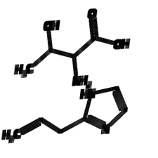 C=CCc1ncc[nH]1.CC(O)C(N)C(=O)O